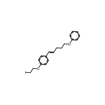 ICCOc1ccc(C=CCCCOc2ccccc2)cc1